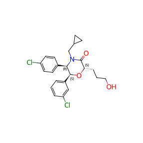 O=C1[C@H](CCCO)O[C@@H](c2cccc(Cl)c2)[C@@H](c2ccc(Cl)cc2)N1CC1CC1